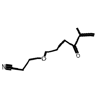 C=C(C)C(=O)CCCOCCC#N